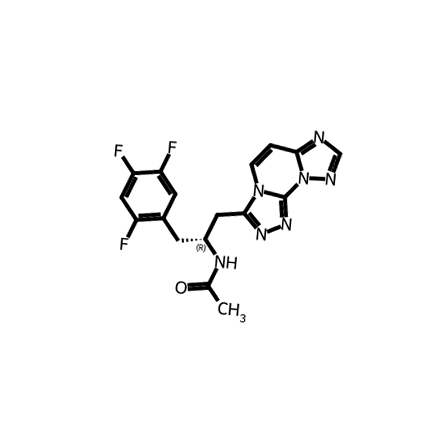 CC(=O)N[C@H](Cc1cc(F)c(F)cc1F)Cc1nnc2n1ccc1ncnn12